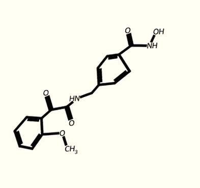 COc1ccccc1C(=O)C(=O)NCc1ccc(C(=O)NO)cc1